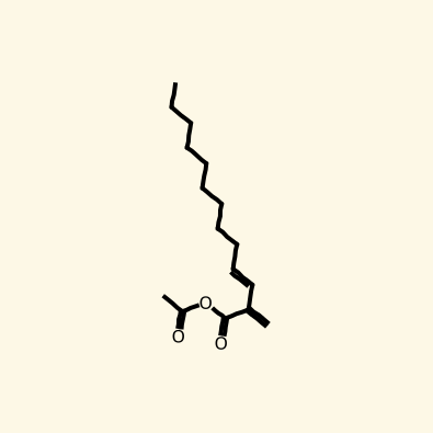 C=C(C=CCCCCCCCCC)C(=O)OC(C)=O